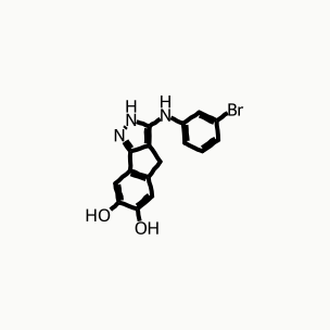 Oc1cc2c(cc1O)-c1n[nH]c(Nc3cccc(Br)c3)c1C2